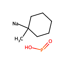 C[C]1([Na])CCCCC1.O=PO